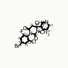 CN1C(=O)N(c2c(F)cc(Br)cc2Cl)C(=O)C[C@@]1(C)c1cccnc1